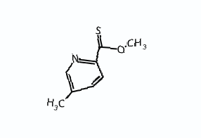 COC(=S)c1ccc(C)cn1